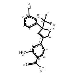 Cc1cc(C2=CC(c3cccc(Cl)c3)(C(F)(F)F)OC2)ccc1C(=O)O